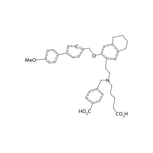 COc1ccc(-c2ccc(COc3cc4c(cc3CCN(CCCCC(=O)O)Cc3ccc(C(=O)O)cc3)CCCC4)cc2)cc1